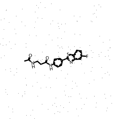 CC(=O)NCCC(=O)Nc1ccc(-c2nc3cc(F)ccc3s2)cc1